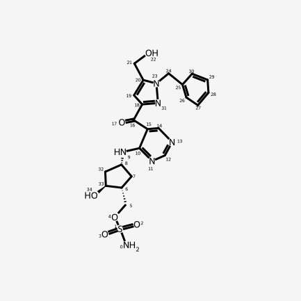 NS(=O)(=O)OC[C@H]1C[C@@H](Nc2ncncc2C(=O)c2cc(CO)n(Cc3ccccc3)n2)C[C@@H]1O